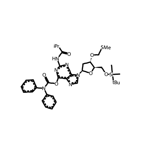 CSCO[C@H]1C[C@H](n2cnc3c(OC(=O)N(c4ccccc4)c4ccccc4)nc(NC(=O)C(C)C)nc32)O[C@@H]1CO[Si](C)(C)C(C)(C)C